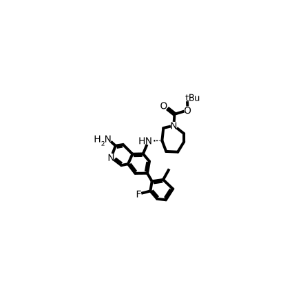 Cc1cccc(F)c1-c1cc(N[C@H]2CCCCN(C(=O)OC(C)(C)C)C2)c2cc(N)ncc2c1